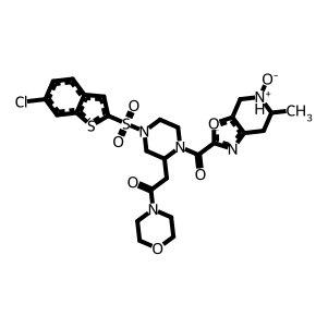 CC1Cc2nc(C(=O)N3CCN(S(=O)(=O)c4cc5ccc(Cl)cc5s4)CC3CC(=O)N3CCOCC3)oc2C[NH+]1[O-]